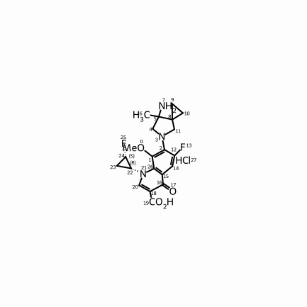 COc1c(N2CC(C)(N)C3(CC3)C2)c(F)cc2c(=O)c(C(=O)O)cn([C@@H]3C[C@@H]3F)c12.Cl